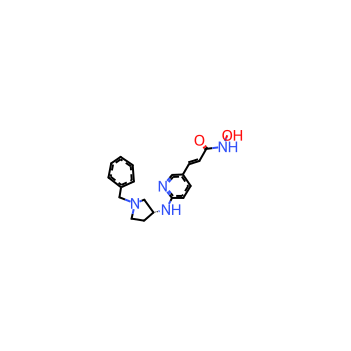 O=C(C=Cc1ccc(N[C@@H]2CCN(Cc3ccccc3)C2)nc1)NO